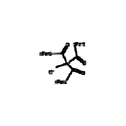 CCCCCC(=O)[N+](C)(C(=O)CCCCC)C(=O)CCCCC.[Cl-]